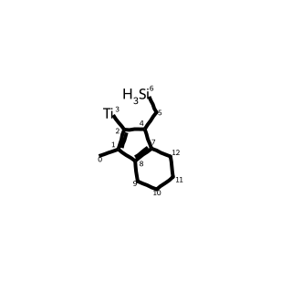 CC1=[C]([Ti])C(C[SiH3])C2=C1CCCC2